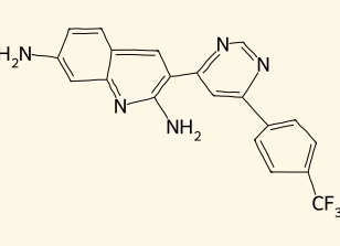 Nc1ccc2cc(-c3cc(-c4ccc(C(F)(F)F)cc4)ncn3)c(N)nc2c1